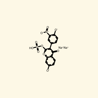 O=c1c(-c2ccc([O-])c([N+](=O)[O-])c2)c(OS(=O)(=O)O)oc2cc([O-])ccc12.[Na+].[Na+]